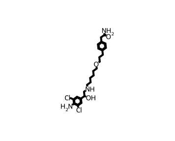 NC(=O)Cc1ccc(CCCOCCCCCCNCC(O)c2cc(Cl)c(N)c(Cl)c2)cc1